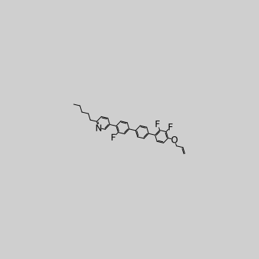 C=CCOc1ccc(-c2ccc(-c3ccc(-c4ccc(CCCCC)nc4)c(F)c3)cc2)c(F)c1F